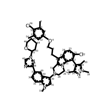 Cc1cc(OCCCc2c3n(c4c(-c5c(C)nn(C)c5C)c(Cl)ccc24)[C@H](C)CN(c2cn(C)c4ccc(-c5ncn(C6CCCCO6)n5)cc24)C3)cc(C)c1Cl